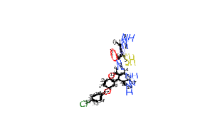 C/C(N=N)=C(/S)C(=O)N1CC(=O)C2=C(C1)Nc1n[nH]cc1C2c1cccc(Oc2ccc(Cl)cc2)c1